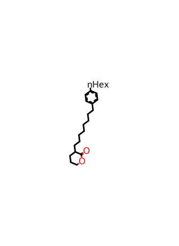 CCCCCCc1ccc(CCCCCCCCC2CCCOC2=O)cc1